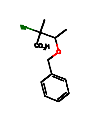 CC(OCc1ccccc1)C(C)(Br)C(=O)O